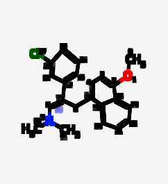 COc1ccc(C/C(=C\N(C)C)c2cccc(Cl)c2)c2ccccc12